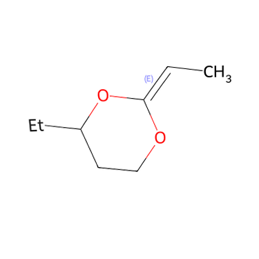 C/C=C1\OCCC(CC)O1